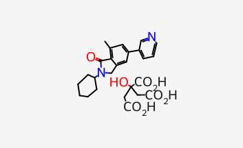 Cc1cc(-c2cccnc2)cc2c1C(=O)N(C1CCCCC1)C2.O=C(O)CC(O)(CC(=O)O)C(=O)O